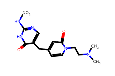 CN(C)CCn1ccc(Cc2cnc(N[N+](=O)[O-])[nH]c2=O)cc1=O